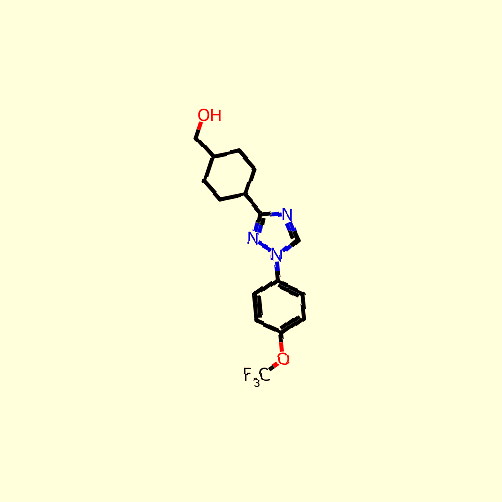 OCC1CCC(c2ncn(-c3ccc(OC(F)(F)F)cc3)n2)CC1